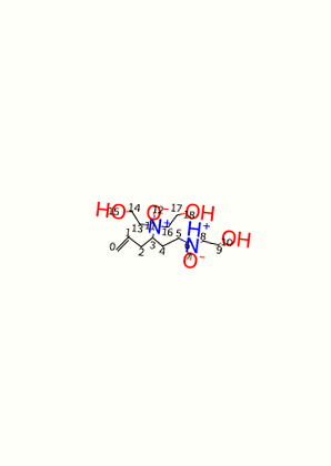 C=CCC(CC[NH+]([O-])CCO)[N+]([O-])(CCO)CCO